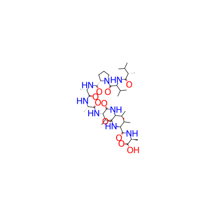 CC(C)[C@H](C)C(=O)N[C@H](C(=O)N1CCC[C@H]1C(=O)N[C@@H](C)C(=O)N[C@@H](C)C(=O)N[C@H](C(=O)N[C@H](C(=O)N[C@H](C(=O)N[C@@H](C)C(=O)O)C(C)C)C(C)C)C(C)C)C(C)C